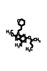 CCC[C@H](C)Oc1nc(N)c2nc(OC)n(CCC3CCCOC3)c2n1